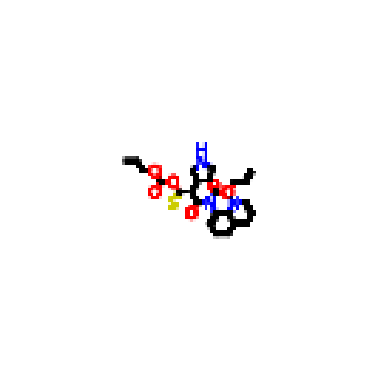 C=CCOC(=O)OC(=S)[C@H](C(=O)N(C(=O)OCC=C)c1cccc2cccnc12)[C@@H]1CCNC1